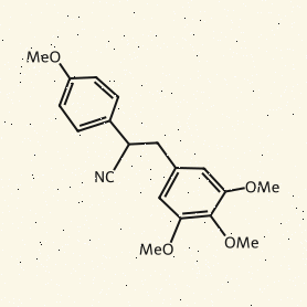 COc1ccc(C(C#N)Cc2cc(OC)c(OC)c(OC)c2)cc1